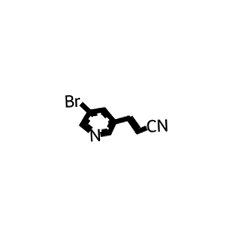 N#C/C=C/c1cncc(Br)c1